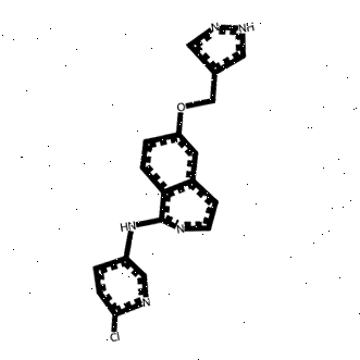 Clc1ccc(Nc2nccc3cc(OCc4cn[nH]c4)ccc23)cn1